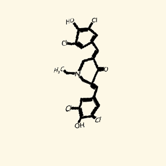 CCN1C/C(=C\c2cc(Cl)c(O)c(Cl)c2)C(=O)/C(=C/c2cc(Cl)c(O)c(Cl)c2)C1